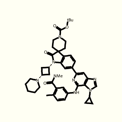 CNC(=O)c1cc(Nc2nc(-c3ccc4c(c3)N([C@H]3C[C@@H](N5CCCCC5)C3)C(=O)C43CCN(C(=O)OC(C)(C)C)CC3)cc3ncn(C4CC4)c23)ccc1C